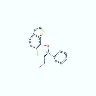 Fc1ccc2ccsc2c1O[C@H](CCI)c1ccccc1